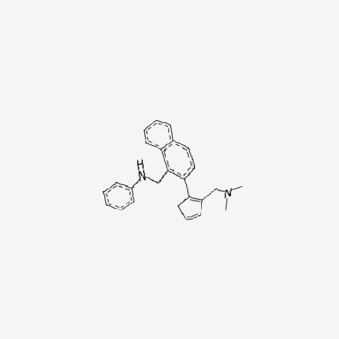 CN(C)CC1=C(c2ccc3ccccc3c2CNc2ccccc2)CC=C1